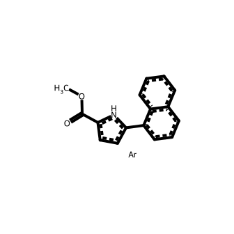 COC(=O)c1ccc(-c2cccc3ccccc23)[nH]1.[Ar]